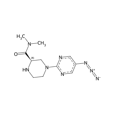 CN(C)C(=O)[C@H]1CN(c2ncc(N=[N+]=[N-])cn2)CCN1